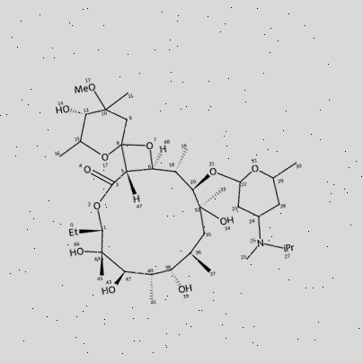 CC[C@H]1OC(=O)[C@H]2[C@@H](OC23CC(C)(OC)[C@@H](O)C(C)O3)[C@H](C)[C@@H](OC2CC(N(C)C(C)C)CC(C)O2)[C@@](C)(O)C[C@@H](C)[C@H](O)[C@H](C)[C@@H](O)[C@]1(C)O